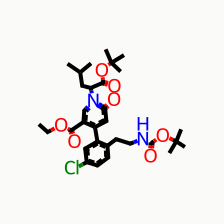 CCOC(=O)c1cn(C(CC(C)C)C(=O)OC(C)(C)C)c(=O)cc1-c1cc(Cl)ccc1CCNC(=O)OC(C)(C)C